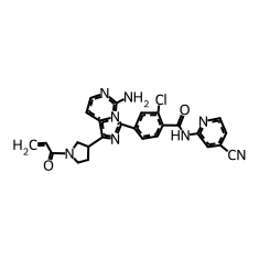 C=CC(=O)N1CCC(c2nc(-c3ccc(C(=O)Nc4cc(C#N)ccn4)c(Cl)c3)n3c(N)nccc23)C1